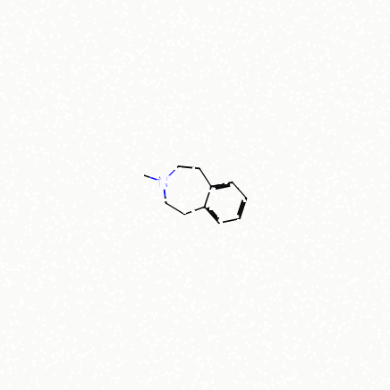 CN1CCc2c[c]ccc2CC1